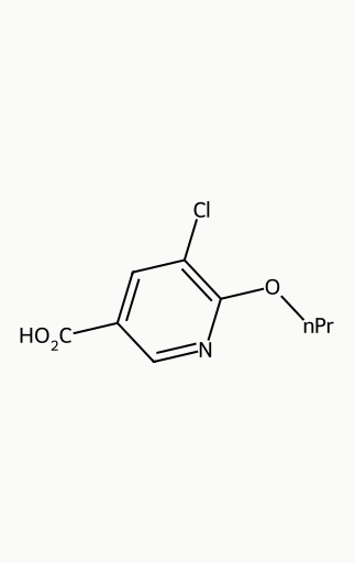 CCCOc1ncc(C(=O)O)cc1Cl